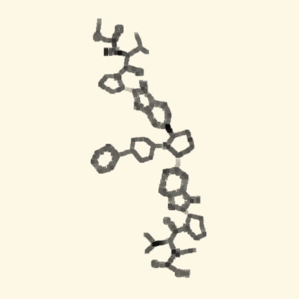 COC(=O)N[C@H](C(=O)N1CCC[C@H]1c1nc2cc([C@H]3CC[C@H](c4ccc5nc([C@@H]6CCCN6C(=O)[C@H](C(C)C)N(C)C(=O)O)[nH]c5c4)N3C3CCC(c4ccccc4)CC3)ccc2[nH]1)C(C)C